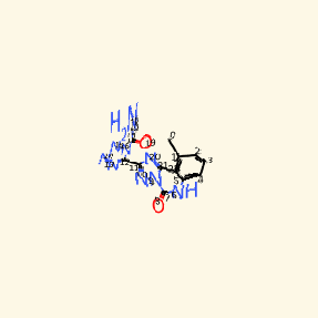 Cc1cccc2[nH]c(=O)n3nc(-c4nnnn4C(N)=O)nc3c12